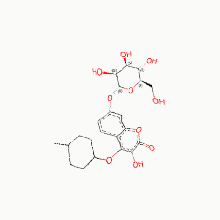 CC1CCC(Oc2c(O)c(=O)oc3cc(O[C@H]4O[C@H](CO)[C@@H](O)[C@H](O)[C@@H]4O)ccc23)CC1